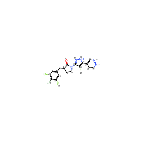 O=C1C(Cc2cc(F)c(Cl)c(F)c2)CCN1c1n[nH]c(-c2ccnnc2)c1F